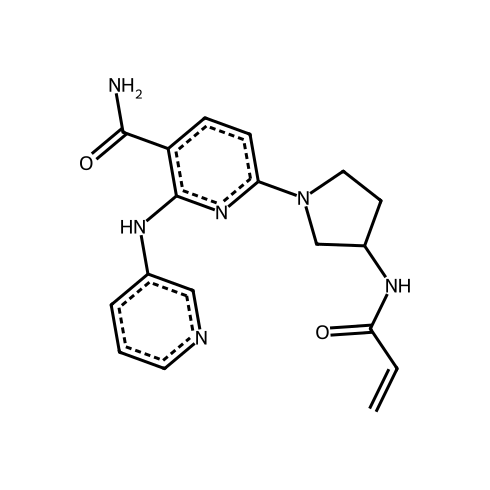 C=CC(=O)NC1CCN(c2ccc(C(N)=O)c(Nc3cccnc3)n2)C1